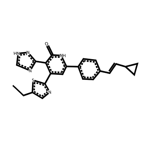 CCc1cnc(-c2cc(-c3ccc(/C=C/C4CC4)cc3)[nH]c(=O)c2-c2nc[nH]n2)s1